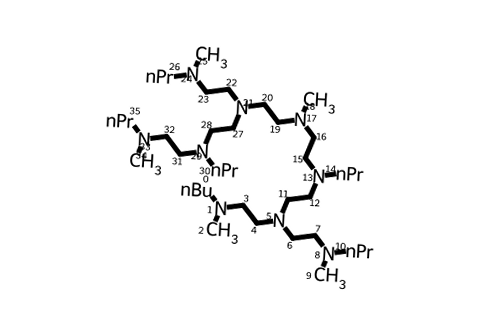 CCCCN(C)CCN(CCN(C)CCC)CCN(CCC)CCN(C)CCN(CCN(C)CCC)CCN(CCC)CCN(C)CCC